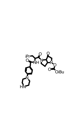 CC(C)COC(=O)ON1CC(=O)C2C1CCN2C(=O)C(CC(C)C)NC(=O)c1ccc(N2CCNCC2)cc1